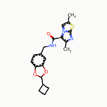 Cc1cn2c(C(=O)NCc3ccc4c(c3)OC(C3CCC3)O4)c(C)nc2s1